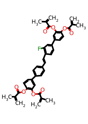 C=C(C)C(=O)Oc1ccc(-c2ccc(/C=C/c3ccc(-c4ccc(OC(=O)C(=C)C)c(OC(=O)C(=C)C)c4)cc3F)cc2)cc1OC(=O)C(=C)C